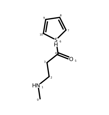 CNCCC(=O)[SH]1C=CC=C1